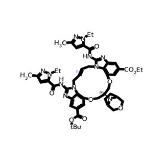 CCOC(=O)c1cc2c3c(c1)nc(NC(=O)c1cc(C)nn1CC)n3C/C=C/Cn1c(NC(=O)c3cc(C)nn3CC)nc3cc(C(=O)OC(C)(C)C)cc(c31)OC[C@H](N1C3CCC1COC3)CO2